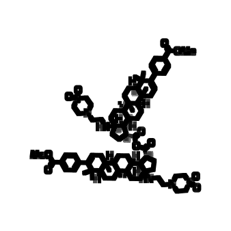 COC(=O)c1ccc(C2=CC[C@]3(C)[C@H]4CC[C@@H]5[C@H]6[C@H](C(=O)OC(=O)[C@@H]7CC[C@]8(NCCN9CCS(=O)(=O)CC9)CC[C@]9(C)[C@H](CC[C@@H]%10[C@@]%11(C)CC=C(c%12ccc(C(=O)OC)cc%12)C(C)(C)[C@@H]%11CC[C@]%109C)[C@@H]78)CC[C@]6(NCCN6CCS(=O)(=O)CC6)CC[C@@]5(C)[C@]4(C)CC[C@H]3C2(C)C)cc1